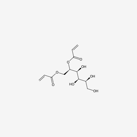 C=CC(=O)OC[C@@H](OC(=O)C=C)[C@@H](O)[C@H](O)[C@@H](O)CO